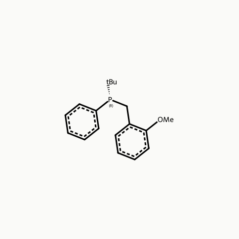 COc1ccccc1C[P@](c1ccccc1)C(C)(C)C